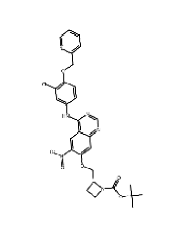 CC(C)(C)OC(=O)N1CC[C@H]1COc1cc2ncnc(Nc3ccc(OCc4ccccn4)c(Cl)c3)c2cc1[N+](=O)[O-]